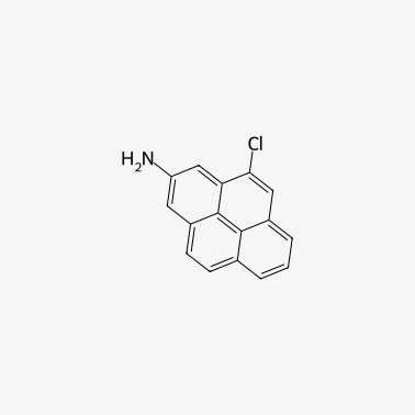 Nc1cc2ccc3cccc4cc(Cl)c(c1)c2c34